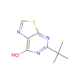 CC(C)(C)c1nc(O)c2ncsc2n1